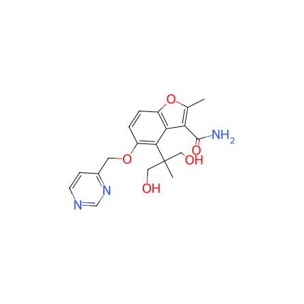 Cc1oc2ccc(OCc3ccncn3)c(C(C)(CO)CO)c2c1C(N)=O